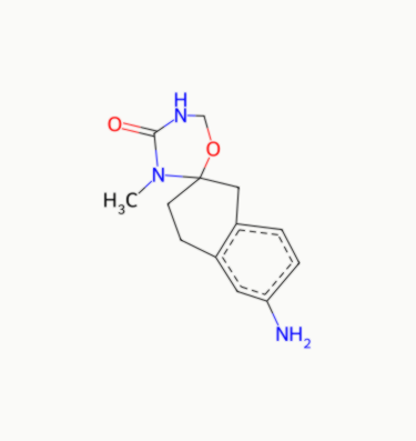 CN1C(=O)NCOC12CCc1cc(N)ccc1C2